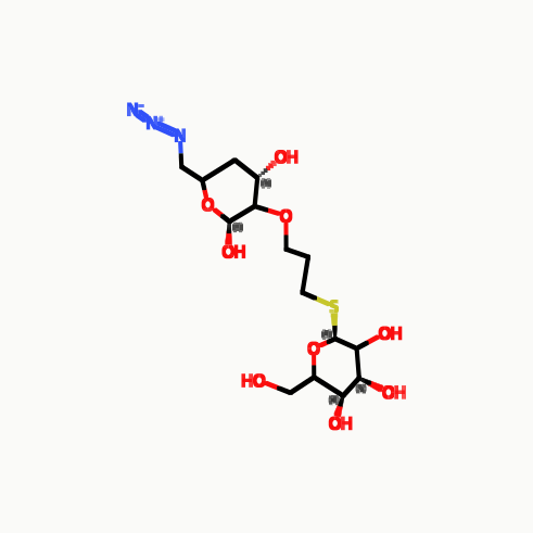 [N-]=[N+]=NCC1C[C@H](O)C(OCCCS[C@@H]2OC(CO)[C@H](O)[C@H](O)C2O)[C@@H](O)O1